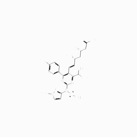 CC(C)c1nc(N(c2ccn(C)n2)S(C)(=O)=O)nc(-c2ccc(F)cc2)c1/C=C/[C@@H](O)C[C@@H](O)CC(=O)O